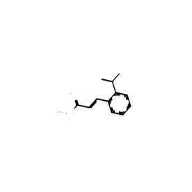 CC(C)c1ccccc1/C=C/C(=O)O